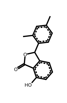 Cc1ccc(C2OC(=O)c3c(O)cccc32)c(C)c1